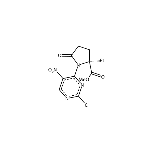 CC[C@@]1(C(=O)OC)CCC(=O)N1c1nc(Cl)ncc1[N+](=O)[O-]